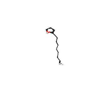 C=CCCCCCCc1ccco1